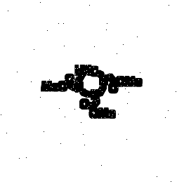 COC(=O)CN1CCNCCN(CC(=O)OC)CCN(CC(=O)OC)CC1